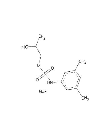 Cc1cc(C)cc(NS(=O)(=O)OCC(C)O)c1.[NaH]